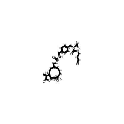 C=C1C(=O)O[C@H]2[C@H]1CC/C(COC(=O)NCc1ccc(Cn3c(=O)sn(CCCCl)c3=O)cc1)=C\CC[C@@]1(C)O[C@@H]21